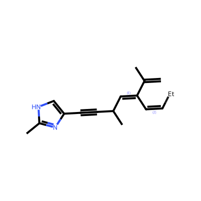 C=C(C)C(/C=C\CC)=C/C(C)C#Cc1c[nH]c(C)n1